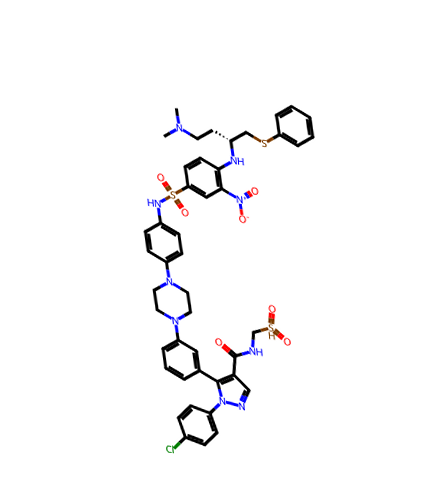 CN(C)CC[C@H](CSc1ccccc1)Nc1ccc(S(=O)(=O)Nc2ccc(N3CCN(c4cccc(-c5c(C(=O)NC[SH](=O)=O)cnn5-c5ccc(Cl)cc5)c4)CC3)cc2)cc1[N+](=O)[O-]